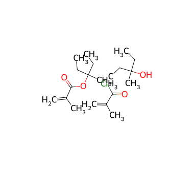 C=C(C)C(=O)Cl.C=C(C)C(=O)OC(C)(CC)CC.CCC(C)(O)CC